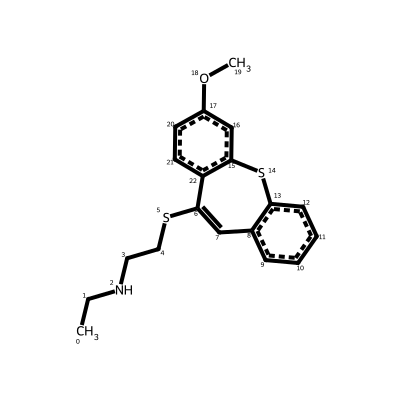 CCNCCSC1=Cc2ccccc2Sc2cc(OC)ccc21